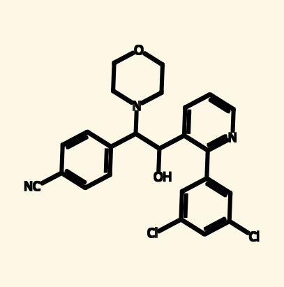 N#Cc1ccc(C(C(O)c2cccnc2-c2cc(Cl)cc(Cl)c2)N2CCOCC2)cc1